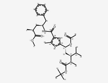 COC(=O)[C@@H](C)C[C@@H](Cc1ccccc1)NC(=O)c1nc([C@@H](C[C@@H](C(C)C)N(C)C(=O)OC(C)(C)C)OC(C)=O)sc1C